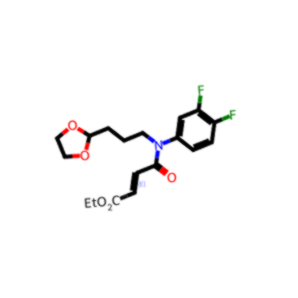 CCOC(=O)/C=C/C(=O)N(CCCC1OCCO1)c1ccc(F)c(F)c1